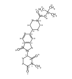 CN1C(=O)CCC(N2Cc3cc(C4CCN(C(=O)OC(C)(C)C)CC4)ccc3C2=O)C1=O